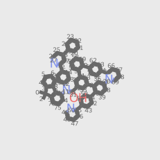 CC1(C)c2ccccc2-c2c(N(c3ccc(-c4cc(-c5ccccc5)ccn4)cc3)C(O)c3cc(-c4ccccc4-c4ccc(-c5ccccn5)cc4)cc(-c4ccccc4-c4ccc(-c5ccccn5)cc4)c3)cccc21